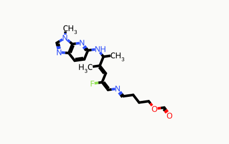 C\C(=C/C(F)=C\N=C\CCCOC=O)C(C)Nc1ccc2ncn(C)c2n1